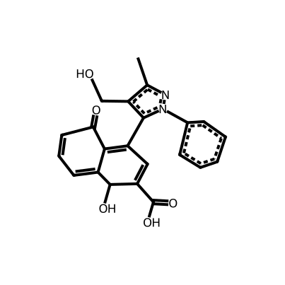 Cc1nn(-c2ccccc2)c(C2=C3C(=O)C=CC=C3C(O)C(C(=O)O)=C2)c1CO